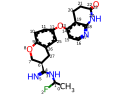 CC(F)NC(=N)[C@H]1COc2ccc(Oc3ccnc4c3CCC(=O)N4)cc2C1